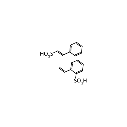 C=Cc1ccccc1S(=O)(=O)O.O=S(=O)(O)C=Cc1ccccc1